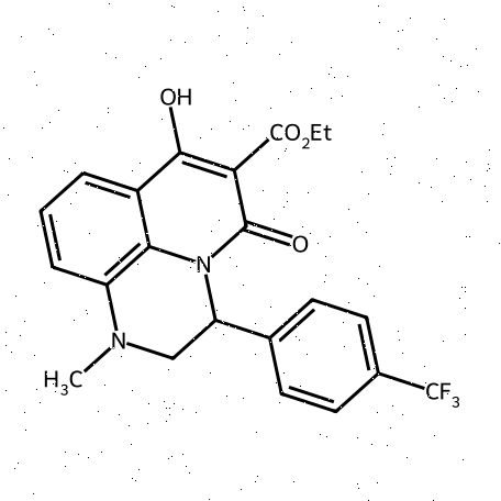 CCOC(=O)c1c(O)c2cccc3c2n(c1=O)C(c1ccc(C(F)(F)F)cc1)CN3C